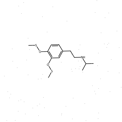 CSOc1ccc(CCNC(C)C)cc1OSC